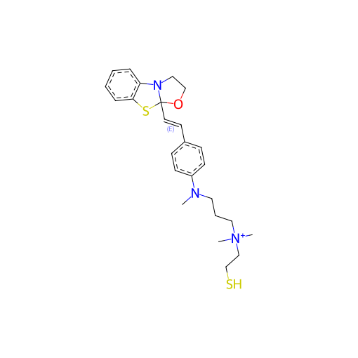 CN(CCC[N+](C)(C)CCS)c1ccc(/C=C/C23OCCN2c2ccccc2S3)cc1